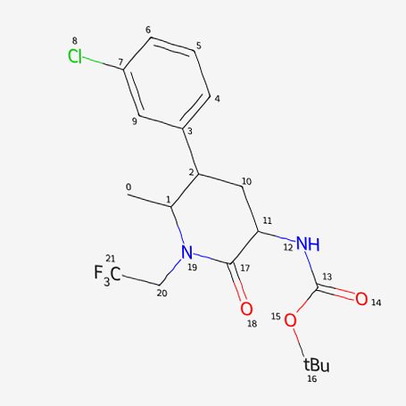 CC1C(c2cccc(Cl)c2)CC(NC(=O)OC(C)(C)C)C(=O)N1CC(F)(F)F